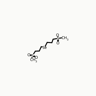 CS(=O)(=O)CCC[Se]CCCS(C)(=O)=O